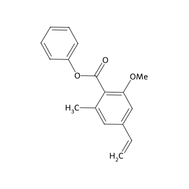 C=Cc1cc(C)c(C(=O)Oc2ccccc2)c(OC)c1